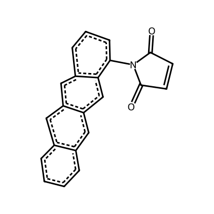 O=C1C=CC(=O)N1c1cccc2cc3cc4ccccc4cc3cc12